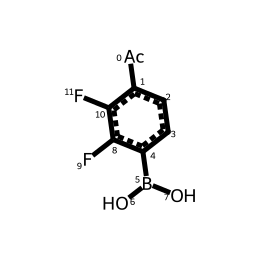 CC(=O)c1ccc(B(O)O)c(F)c1F